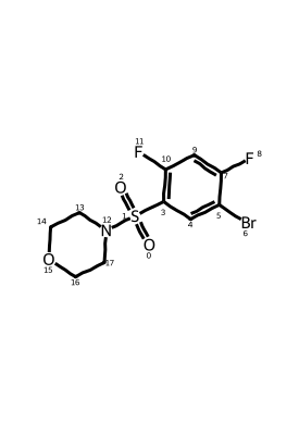 O=S(=O)(c1cc(Br)c(F)cc1F)N1CCOCC1